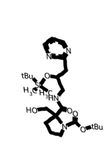 CC(C)(C)OC(=O)N1CCCC1(CO)C(=O)NCC(Cc1ncccn1)O[Si](C)(C)C(C)(C)C